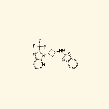 FC(F)(F)c1nc2cccnc2n1[C@H]1C[C@H](Nc2nc3ccccc3s2)C1